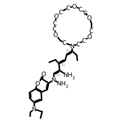 CCC(=C\C=C(/CC)N1CCOCCOCCOCCOCCOCC1)/C(N)=C/N(N)c1cc2cc(N(CC)CC)ccc2oc1=O